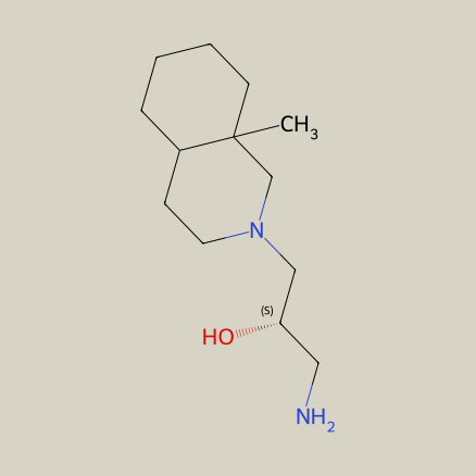 CC12CCCCC1CCN(C[C@@H](O)CN)C2